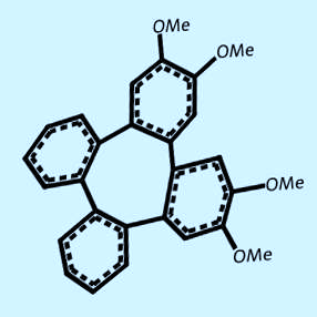 COc1cc2c(cc1OC)-c1cc(OC)c(OC)cc1-c1ccccc1-c1ccccc1-2